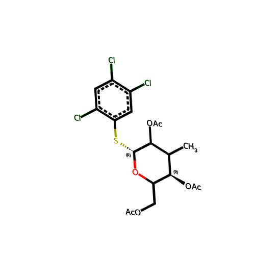 CC(=O)OCC1O[C@H](Sc2cc(Cl)c(Cl)cc2Cl)C(OC(C)=O)C(C)[C@H]1OC(C)=O